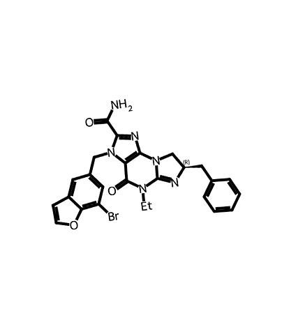 CCN1C(=O)c2c(nc(C(N)=O)n2Cc2cc(Br)c3occc3c2)N2C[C@@H](Cc3ccccc3)N=C12